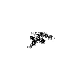 CC[C@H](C)[C@H](NC(=O)N(C)Cc1csc(C(C)C)n1)C(=O)N[C@@H](Cc1ccccc1)[C@H](O)CN(CC1CCCC1)S(=O)(=O)c1ccc(/C=N/O)cc1